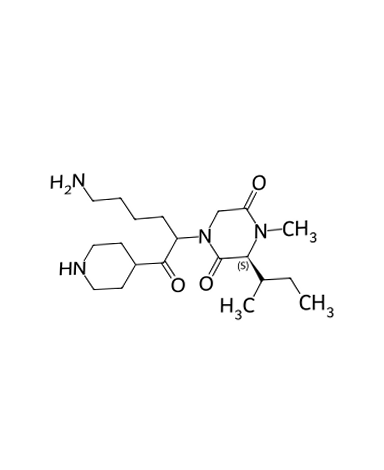 CCC(C)[C@H]1C(=O)N(C(CCCCN)C(=O)C2CCNCC2)CC(=O)N1C